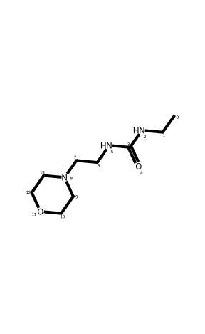 CCNC(=O)NCCN1CCOCC1